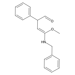 COC(=CC(C=O)c1ccccc1)NCc1ccccc1